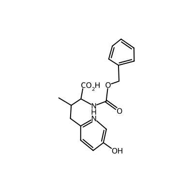 CC(Cc1ccc(O)cn1)C(NC(=O)OCc1ccccc1)C(=O)O